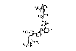 C[C@@H]1CN(Cc2cc(-c3cccc(Oc4ncc(F)cc4C(=O)N[C@H]4CC[C@@H](NC(=O)c5cc(C(F)(F)F)n(C)n5)CC4)c3)ccc2O)C[C@H](C)N1